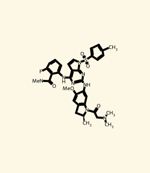 CNC(=O)c1c(F)cccc1Nc1nc(Nc2cc3c(cc2OC)C[C@H](C)N3C(=O)CN(C)C)nc2c1ccn2S(=O)(=O)c1ccc(C)cc1